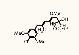 CCOC(=O)NC(C)(O)[C@H](/C=C/C=C(\C)Cc1cc(NC)c(Cl)c(OC)c1)OC